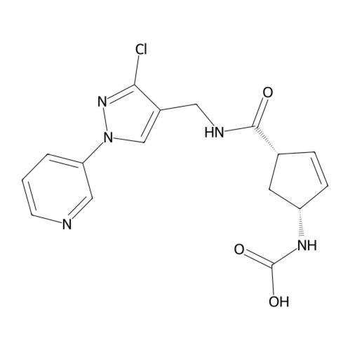 O=C(O)N[C@H]1C=C[C@@H](C(=O)NCc2cn(-c3cccnc3)nc2Cl)C1